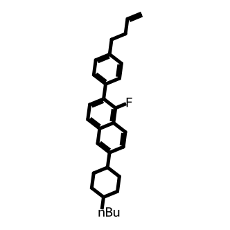 C=CCCc1ccc(-c2ccc3cc(C4CCC(CCCC)CC4)ccc3c2F)cc1